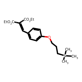 CCOC(=O)C(=Cc1ccc(OCCC[Si](C)(C)C)cc1)C(=O)OCC